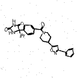 CC(C)C1(c2ccc(C(=O)N3CCC(c4cc(-c5ccccc5)no4)CC3)cc2)NC(=O)NC1=O